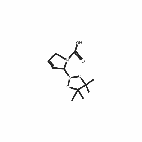 CC1(C)OB(C2C=CCN2C(=O)O)OC1(C)C